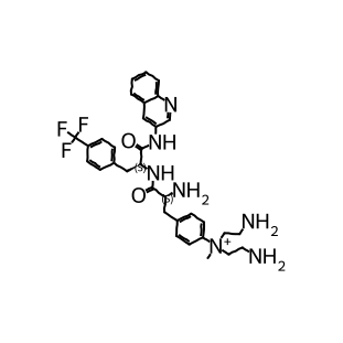 C[N+](CCN)(CCN)c1ccc(C[C@H](N)C(=O)N[C@@H](Cc2ccc(C(F)(F)F)cc2)C(=O)Nc2cnc3ccccc3c2)cc1